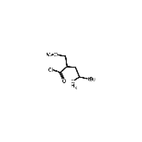 COCC(CC(C)C(C)(C)C)C(=O)Cl